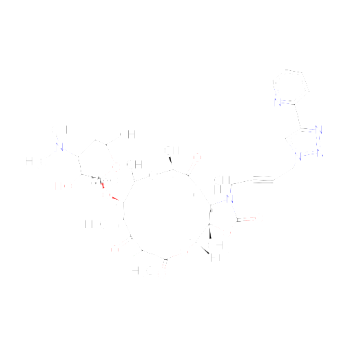 CC[C@H]1OC(=O)[C@@](C)(F)C(=O)[C@H](C)[C@@H](O[C@@H]2OC(C)CC(N(C)C)C2O)[C@](C)(OC)C[C@@H](C)C(=O)[C@H](C)[C@H]2N(CC#CCn3cc(-c4ccccn4)nn3)C(=O)O[C@]12C